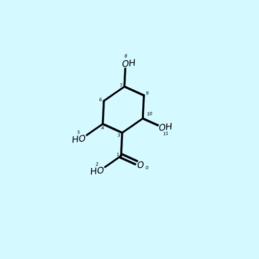 O=C(O)C1C(O)CC(O)CC1O